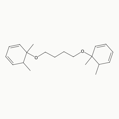 CC1C=CC=CC1(C)OCCCCOC1(C)C=CC=CC1C